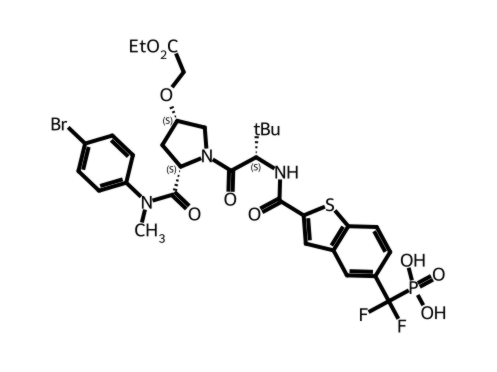 CCOC(=O)CO[C@H]1C[C@@H](C(=O)N(C)c2ccc(Br)cc2)N(C(=O)[C@@H](NC(=O)c2cc3cc(C(F)(F)P(=O)(O)O)ccc3s2)C(C)(C)C)C1